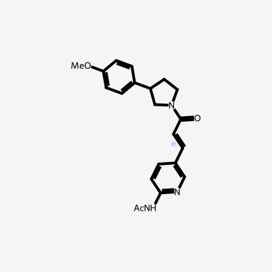 COc1ccc(C2CCN(C(=O)/C=C/c3ccc(NC(C)=O)nc3)C2)cc1